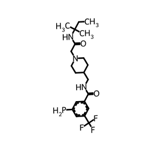 CCC(C)(C)NC(=O)CN1CCC(CNC(=O)c2cc(P)cc(C(F)(F)F)c2)CC1